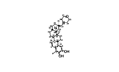 Cc1c(O)c(O)cc2c1C=CC1[C@@]2(C)CC[C@@]2(C)[C@@H]3C[C@](C)(CN4CCOCC4)CC[C@]3(C)CC[C@]12C